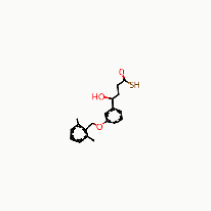 Cc1cccc(C)c1COc1cccc(C(O)CCC(=O)S)c1